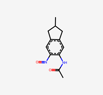 CC(=O)Nc1cc2c(cc1N=O)CC(C)C2